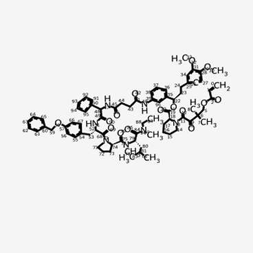 C=CC(=O)OCC(C)(C)C(=O)C(=O)N1CCCC[C@H]1C(=O)O[C@H](CCc1ccc(OC)c(OC)c1)c1cccc(NC(=O)CCC(=O)NC(C(=O)N[C@@H](Cc2ccc(OCc3ccccc3)cc2)C(=O)N2CCC[C@@H]2C(=O)N(C)[C@@H](CC(C)C)C(=O)N(C)CC)c2ccccc2)c1